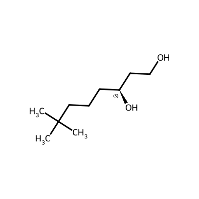 CC(C)(C)CCC[C@H](O)CCO